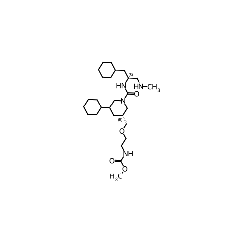 CNC[C@H](CC1CCCCC1)NC(=O)N1CC(C2CCCCC2)C[C@@H](COCCNC(=O)OC)C1